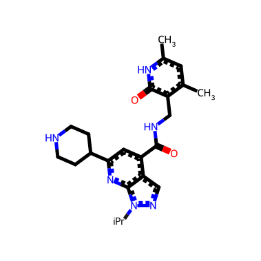 Cc1cc(C)c(CNC(=O)c2cc(C3CCNCC3)nc3c2cnn3C(C)C)c(=O)[nH]1